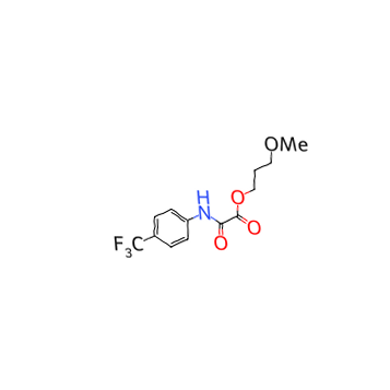 COCCCOC(=O)C(=O)Nc1ccc(C(F)(F)F)cc1